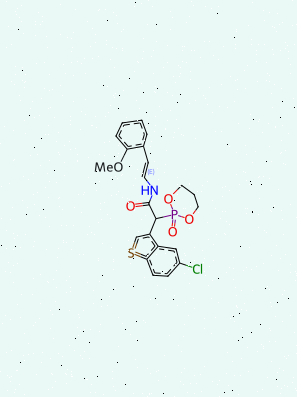 COc1ccccc1/C=C/NC(=O)C(c1csc2ccc(Cl)cc12)P1(=O)OCCCO1